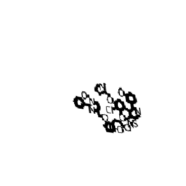 COc1cccc(-c2ncc3snc(OC(Cc4ccccc4OCc4ccnc(-c5ccccc5OC)n4)C(=O)O)c3c2-c2ccc(OCC3CCCN3C)c(Cl)c2C)c1